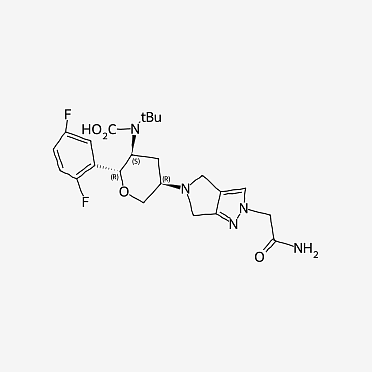 CC(C)(C)N(C(=O)O)[C@H]1C[C@@H](N2Cc3cn(CC(N)=O)nc3C2)CO[C@@H]1c1cc(F)ccc1F